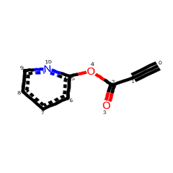 C#CC(=O)Oc1ccccn1